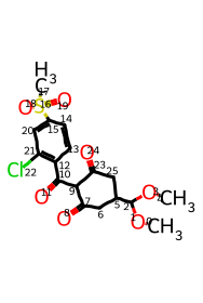 COC(OC)C1CC(=O)C(C(=O)c2ccc(S(C)(=O)=O)cc2Cl)C(=O)C1